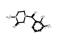 CN1CCN(C(=O)c2cccc(C(F)(F)F)c2Cl)CC1=O